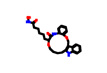 O=C(CCCCCC1OCCCCc2[nH]c3ccccc3c2COc2ccccc2NC1=O)NO